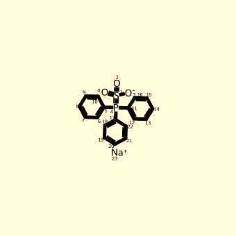 O=S(=O)([O-])[PH](c1ccccc1)(c1ccccc1)c1ccccc1.[Na+]